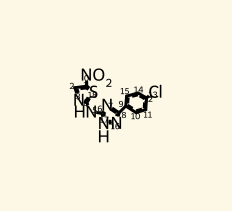 O=[N+]([O-])c1cnc(Nc2nc(-c3ccc(Cl)cc3)n[nH]2)s1